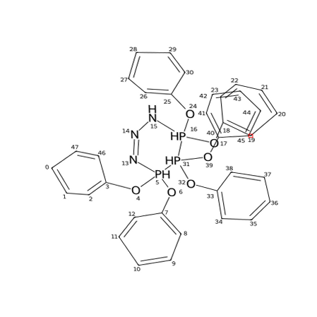 c1ccc(O[PH]2(Oc3ccccc3)N=NN[PH](Oc3ccccc3)(Oc3ccccc3)[PH]2(Oc2ccccc2)Oc2ccccc2)cc1